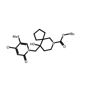 CSc1cn(CC2(O)CCN(C(=O)OC(C)(C)C)CC23CCCC3)c(=O)cc1Cl